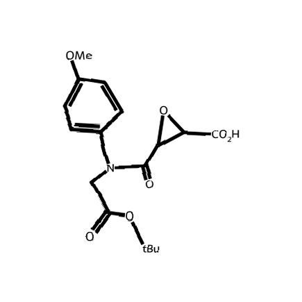 COc1ccc(N(CC(=O)OC(C)(C)C)C(=O)C2OC2C(=O)O)cc1